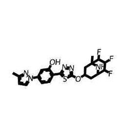 Cc1ccn(-c2ccc(-c3nnc(OC4CC5NC(C)(C4)C(F)C(F)C5F)s3)c(O)c2)n1